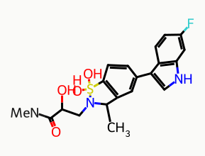 CNC(=O)C(O)CN1C(C)c2cc(-c3c[nH]c4cc(F)ccc34)ccc2S1(O)O